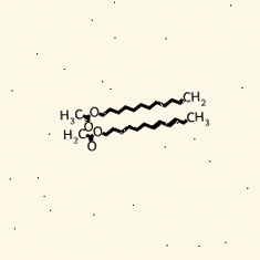 C=CCCCCCCCCCCOC(C)=O.CCC=CC=CCCCCCCOC(C)=O